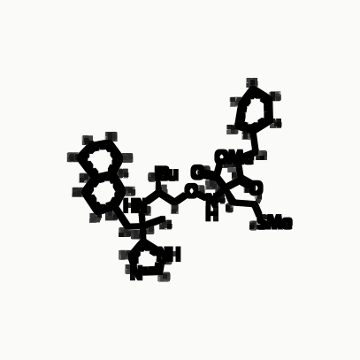 CC[C@H](C)C(CON[C@@](CCSC)(C(=O)CCc1ccccc1)C(=O)OC)NC(C)(Cc1ccc2ccccc2c1)c1cnc[nH]1